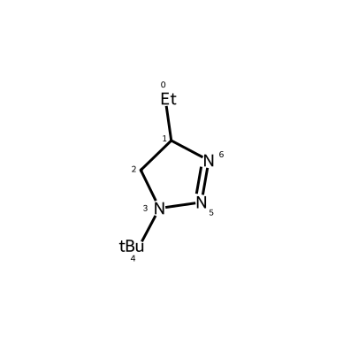 CCC1CN(C(C)(C)C)N=N1